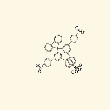 O=[N+]([O-])c1ccc(-c2cc(-c3ccc([N+](=O)[O-])cc3)cc(C3(c4cc(-c5ccc([N+](=O)[O-])cc5)cc(-c5ccc([N+](=O)[O-])cc5)c4)c4ccccc4-c4ccccc43)c2)cc1